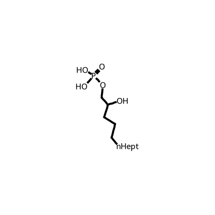 CCCCCCCCCCC(O)COP(=O)(O)O